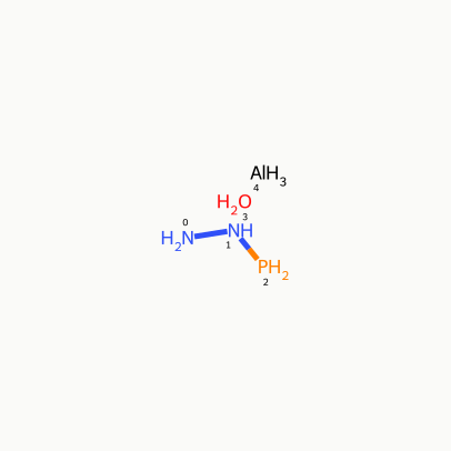 NNP.O.[AlH3]